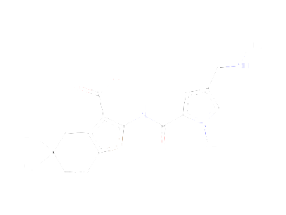 CNCc1cc(C(=O)Nc2sc3c(c2C(=O)O)CC(C)(C)CC3)n(C)c1